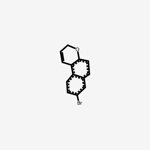 Brc1ccc2c3c(ccc2c1)OCC=C3